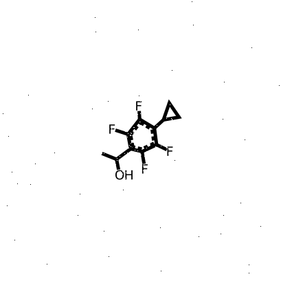 CC(O)c1c(F)c(F)c(C2CC2)c(F)c1F